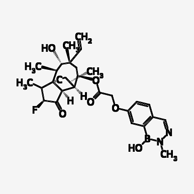 C=C[C@]1(C)C[C@@H](OC(=O)COc2ccc3c(c2)B(O)N(C)N=C3)[C@@H]2[C@H](C)CC[C@]3(C(C)[C@H](F)C(=O)[C@H]23)[C@@H](C)[C@@H]1O